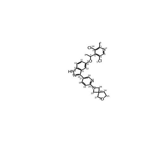 Cc1ncc(Cl)c(C(C)Oc2ccc3[nH]nc(-c4ccc(N5CC6(CCOC6)C5)nc4)c3c2)c1Cl